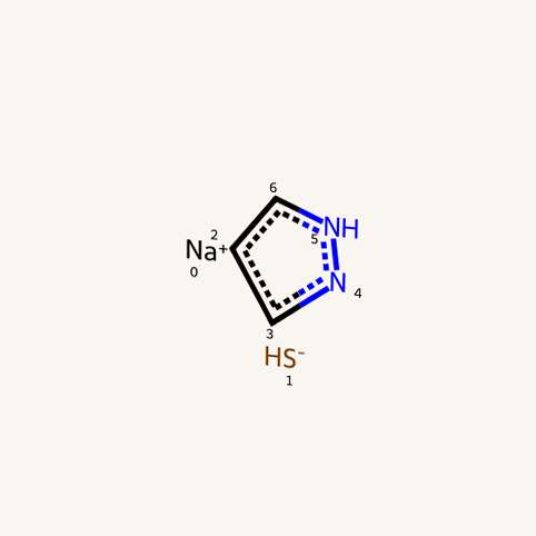 [Na+].[SH-].c1cn[nH]c1